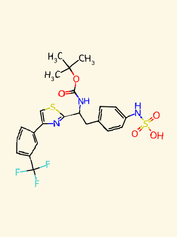 CC(C)(C)OC(=O)NC(Cc1ccc(NS(=O)(=O)O)cc1)c1nc(-c2cccc(C(F)(F)F)c2)cs1